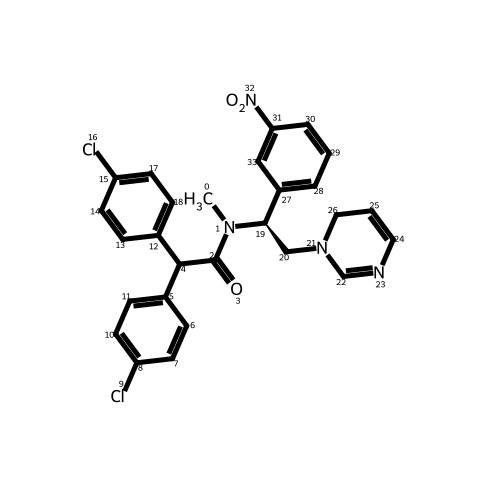 CN(C(=O)C(c1ccc(Cl)cc1)c1ccc(Cl)cc1)[C@H](CN1C=NC=CC1)c1cccc([N+](=O)[O-])c1